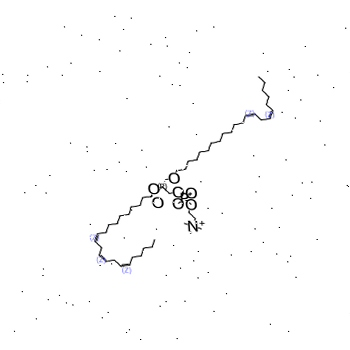 CCCCC/C=C\C/C=C\C/C=C\CCCCCCCCC(=O)O[C@H](COCCCCCCCCCCCC/C=C\C/C=C\CCCCC)COP(=O)([O-])OCC[N+](C)(C)C